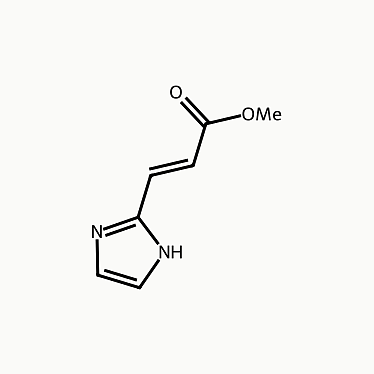 COC(=O)C=Cc1ncc[nH]1